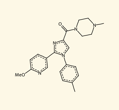 COc1ccc(-c2nc(C(=O)N3CCN(C)CC3)cn2-c2ccc(C)cc2)cn1